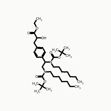 CCCCCCCN(CC(c1ccc(CC(O)C(=O)OCC)cc1)N(CCCCCCC)C(=O)OC(C)(C)C)C(=O)OC(C)(C)C